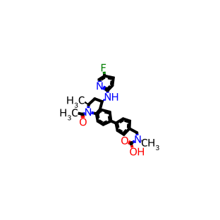 CC(=O)N1c2ccc(-c3ccc(CN(C)C(=O)O)cc3)cc2[C@H](Nc2ccc(F)cn2)C[C@@H]1C